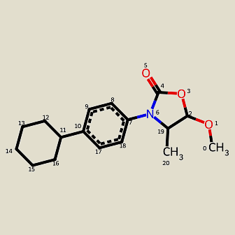 COC1OC(=O)N(c2ccc(C3CCCCC3)cc2)C1C